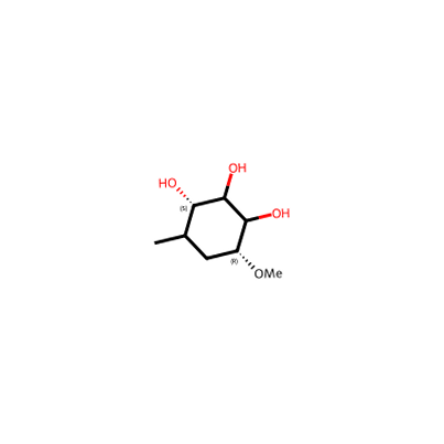 CO[C@@H]1CC(C)[C@H](O)C(O)C1O